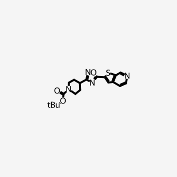 CC(C)(C)OC(=O)N1CCC(c2noc(-c3cc4ccncc4s3)n2)CC1